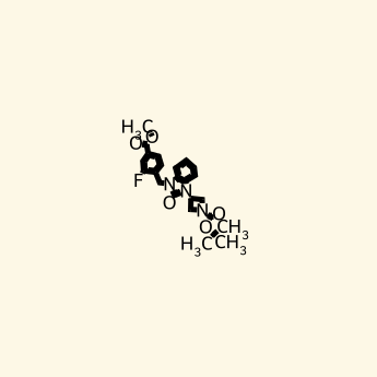 COC(=O)c1ccc(Cn2c(=O)n(C3CN(C(=O)OC(C)(C)C)C3)c3ccccc32)c(F)c1